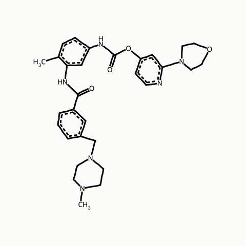 Cc1ccc(NC(=O)Oc2ccnc(N3CCOCC3)c2)cc1NC(=O)c1cccc(CN2CCN(C)CC2)c1